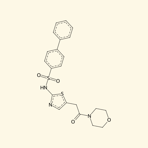 O=C(Cc1cnc(NS(=O)(=O)c2ccc(-c3ccccc3)cc2)s1)N1CCOCC1